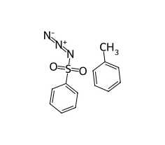 Cc1ccccc1.[N-]=[N+]=NS(=O)(=O)c1ccccc1